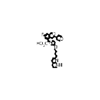 O=C(O)[C@H](c1cc(F)cc2c1CC(C1CCOCC1)OC2)N1CC[C@@H](OCCCCc2ccc3c(n2)NCCC3)C1